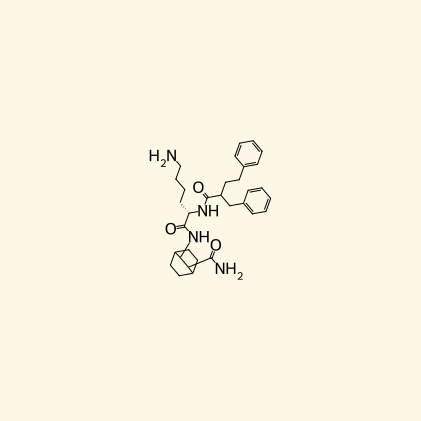 NCCCC[C@H](NC(=O)C(CCc1ccccc1)Cc1ccccc1)C(=O)NC1C2CCC(CC2)C1C(N)=O